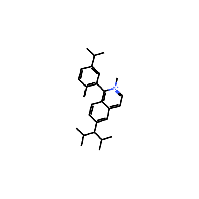 Cc1ccc(C(C)C)cc1-c1c2ccc(C(C(C)C)C(C)C)cc2cc[n+]1C